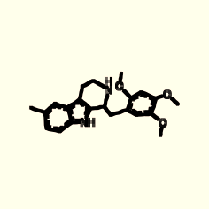 COc1cc(OC)c(OC)cc1CC1NCCc2c1[nH]c1ccc(C)cc21